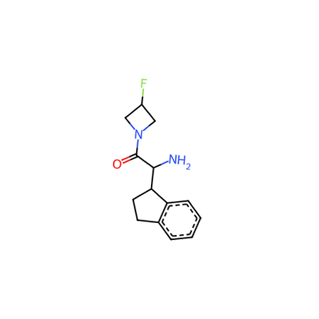 NC(C(=O)N1CC(F)C1)C1CCc2ccccc21